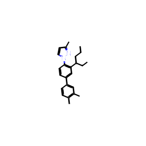 CCCC(CC)c1cc(-c2ccc(C)c(C)c2)ccc1-n1ccc(C)n1